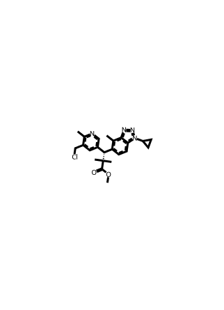 COC(=O)C(C)(C)[C@H](c1cnc(C)c(CCl)c1)c1ccc2c(nnn2C2CC2)c1C